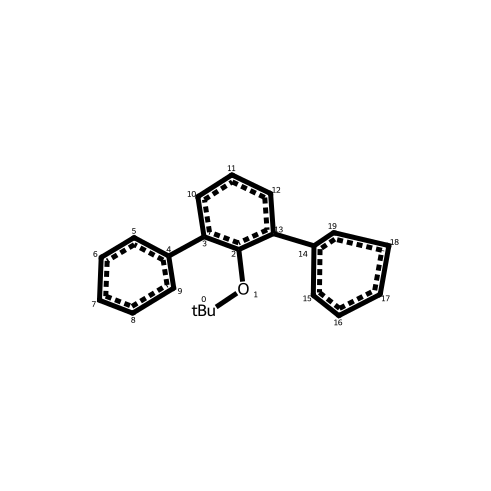 CC(C)(C)Oc1c(-c2ccccc2)cccc1-c1ccccc1